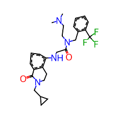 CN(C)CCN(Cc1ccccc1C(F)(F)F)C(=O)CNc1cccc2c1CCN(CC1CC1)C2=O